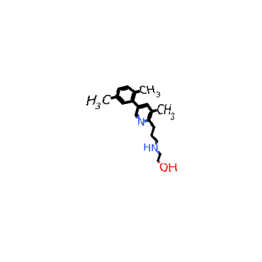 Cc1ccc(C)c(-c2cnc(CCCNCCO)c(C)c2)c1